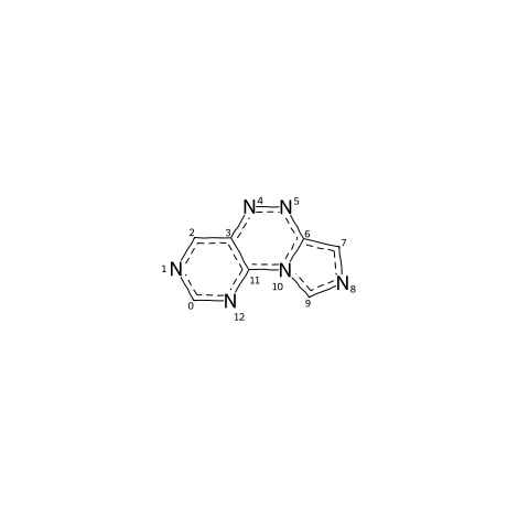 c1ncc2nnc3cncn3c2n1